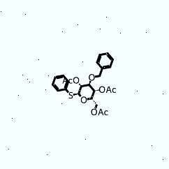 CC(=O)OC[C@@H]1O[C@@H](Sc2ccccc2)[C@H](OC(C)=O)[C@@H](OCc2ccccc2)[C@@H]1OC(C)=O